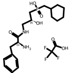 N[C@@H](Cc1ccccc1)C(=O)NC[C@@H](O)CP(=O)(O)CC1CCCCC1.O=C(O)C(F)(F)F